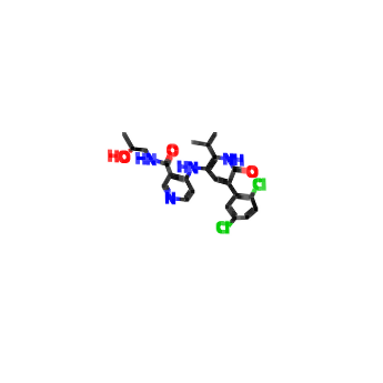 CC(O)CNC(=O)c1cnccc1Nc1cc(-c2cc(Cl)ccc2Cl)c(=O)[nH]c1C(C)C